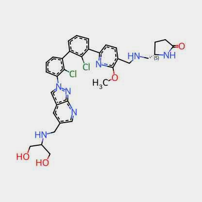 COc1nc(-c2cccc(-c3cccc(-n4cc5cc(CNC(CO)CO)cnc5n4)c3Cl)c2Cl)ccc1CNC[C@@H]1CCC(=O)N1